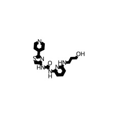 O=C(Nc1cccc(NCCCO)n1)Nc1csc(-c2ccncc2)n1